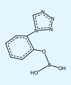 OB(O)Oc1ccccc1-n1cnnn1